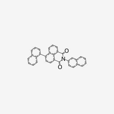 O=C1c2cccc3c(-c4cccc5ccccc45)ccc(c23)C(=O)N1c1ccc2ccccc2c1